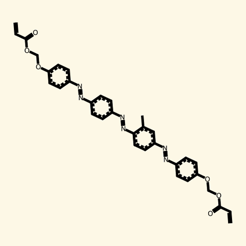 C=CC(=O)OCOc1ccc(N=Nc2ccc(N=Nc3ccc(N=Nc4ccc(OCOC(=O)C=C)cc4)cc3C)cc2)cc1